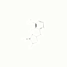 CC1SC(Cc2cccc(C(F)(F)F)c2F)CC1=O